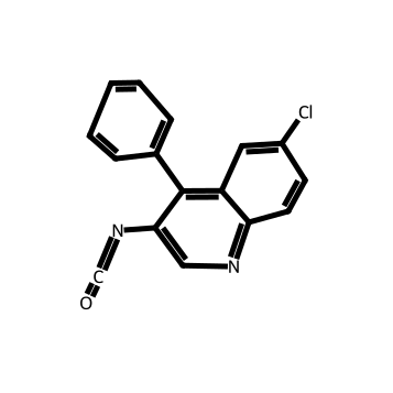 O=C=Nc1cnc2ccc(Cl)cc2c1-c1ccccc1